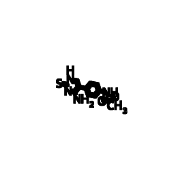 CS(=O)(=O)Nc1ccc(-c2c[nH]c(=S)nc2N)cc1